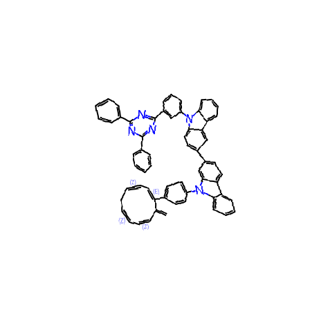 C=C1/C=C\C=C/C/C=C\C=C/1c1ccc(-n2c3ccccc3c3ccc(-c4ccc5c(c4)c4ccccc4n5-c4cccc(-c5nc(-c6ccccc6)nc(-c6ccccc6)n5)c4)cc32)cc1